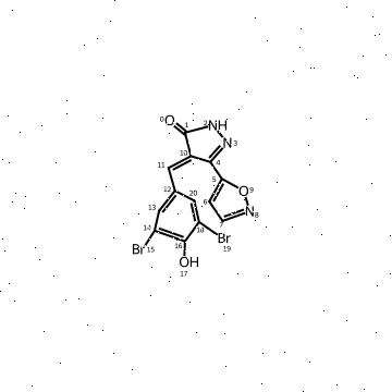 O=C1NN=C(c2ccno2)/C1=C\c1cc(Br)c(O)c(Br)c1